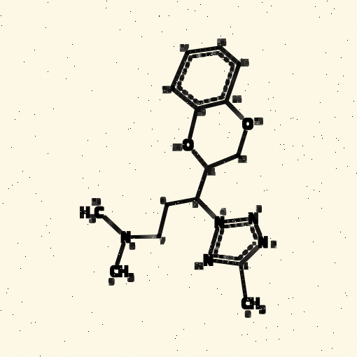 Cc1nnn(C(CCN(C)C)C2COc3ccccc3O2)n1